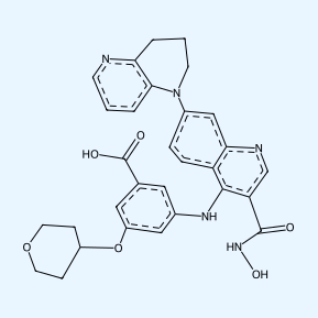 O=C(O)c1cc(Nc2c(C(=O)NO)cnc3cc(N4CCCc5ncccc54)ccc23)cc(OC2CCOCC2)c1